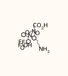 NCCCCc1ccc2c(c1)C(=O)N(CCC(=O)O)CC(=O)N2C(c1ccccc1)c1ccccc1.O=C(O)C(F)(F)F